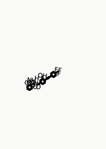 NS(=O)(=O)c1ccccc1S(=O)(=O)NC(=O)c1ccc(C#Cc2ccc(C(F)(F)F)cc2)c(CO)c1